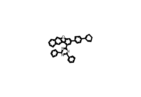 C1=CC(c2ccc(-c3cc(-c4nc(-c5ccccc5)nc(-c5ccccc5)n4)c4c(c3)oc3cc5ccccc5cc34)cc2)=CCC1